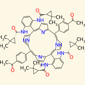 CC(=O)c1ccc(-c2c3nc(c(-c4c(NC(=O)[C@H]5CC5(C)C)cccc4NC(=O)[C@@H]4CC4(C)C)c4ccc([nH]4)c(-c4ccc(C(C)=O)cc4)c4nc(c(-c5c(NC(=O)[C@H]6CC6(C)C)cccc5NC(=O)[C@@H]5CC5(C)C)c5ccc2[nH]5)C=C4)C=C3)cc1